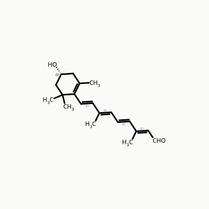 CC1=C(/C=C/C(C)=C/C=C/C(C)=C/C=O)C(C)(C)C[C@H](O)C1